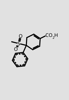 CS(=O)(=O)C1(c2ccccc2)C=CC(C(=O)O)=CC1